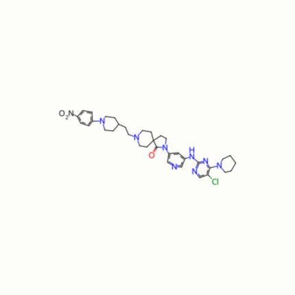 O=C1N(c2cncc(Nc3ncc(Cl)c(N4CCCCC4)n3)c2)CCC12CCN(CCC1CCN(c3ccc([N+](=O)[O-])cc3)CC1)CC2